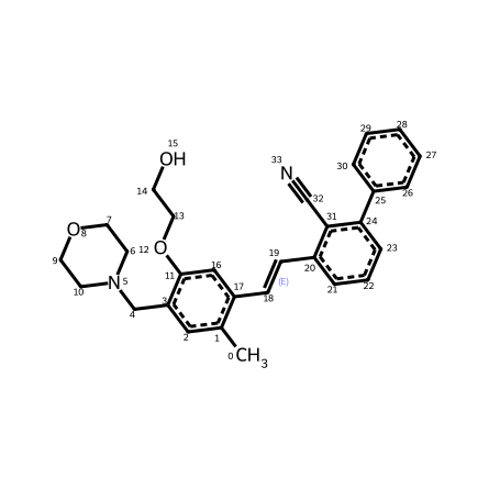 Cc1cc(CN2CCOCC2)c(OCCO)cc1/C=C/c1cccc(-c2ccccc2)c1C#N